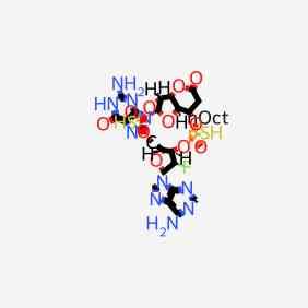 CCCCCCCCC12CC(=O)O[C@H]3[C@@H](O[P@](=O)(S)OC[C@H]4O[C@@H](n5cnc6c(N)ncnc65)[C@H](F)[C@@H]4O[P@](=O)(S)O1)[C@H](n1cnc4c(=O)[nH]c(N)nc41)O[C@@H]32